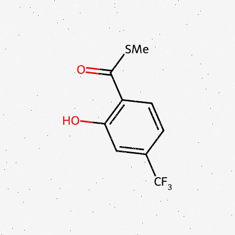 CSC(=O)c1ccc(C(F)(F)F)cc1O